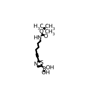 CC(C)(C)OC(=O)NCCCCC#Cc1ncc(B(O)O)s1